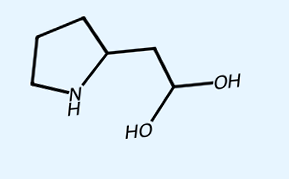 OC(O)CC1CCCN1